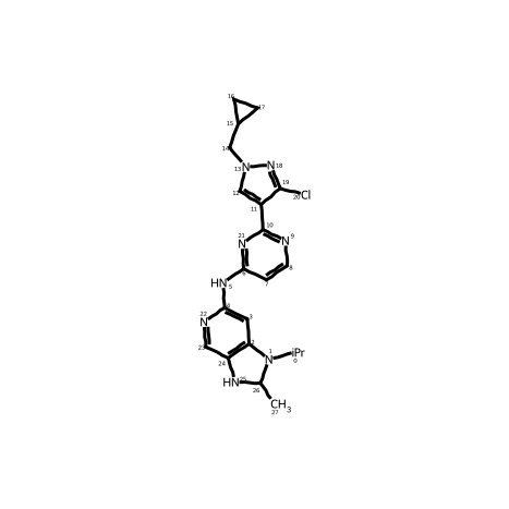 CC(C)N1c2cc(Nc3ccnc(-c4cn(CC5CC5)nc4Cl)n3)ncc2NC1C